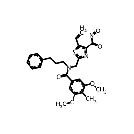 C=Cc1sc(CN(CCCc2ccccc2)C(=O)c2cc(OC)c(C)c(OC)c2)nc1C(=O)N=O